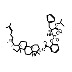 CC(C)=CCC[C@@H](C)[C@H]1CC[C@@]2(C)C3=C(CC[C@]12C)[C@@]1(C)CC[C@H](OC(=O)c2ccccc2OP(=O)(O)N[C@@H](Cc2ccccc2)C(=O)OC(C)C)C(C)(C)[C@@H]1CC3